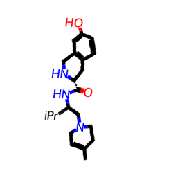 CC1=CCN(CC(NC(=O)[C@H]2Cc3ccc(O)cc3CN2)C(C)C)CC1